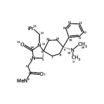 CNC(=O)CN1C[C@]2(CC[C@@](c3ccccc3)(N(C)C)CC2)N(CC(C)C)C1=O